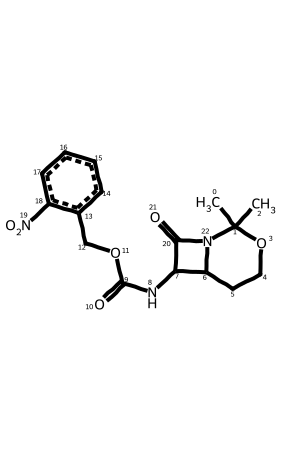 CC1(C)OCCC2C(NC(=O)OCc3ccccc3[N+](=O)[O-])C(=O)N21